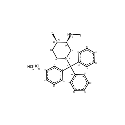 CN[C@H]1CN(C(c2ccccc2)(c2ccccc2)c2ccccc2)CC[C@H]1C.Cl.Cl